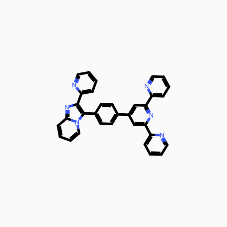 c1ccc(-c2cc(-c3ccc(-c4c(-c5ccccn5)nc5ccccn45)cc3)cc(-c3ccccn3)n2)nc1